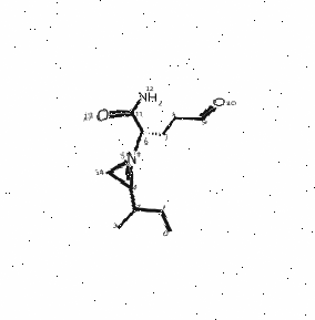 CCC(C)C1=[N+]([C@@H](CCC=O)C(N)=O)C1